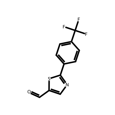 O=Cc1cnc(-c2ccc(C(F)(F)F)cc2)s1